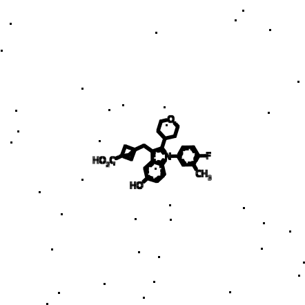 Cc1cc(-n2c(C3CCOCC3)c(CC34CC(C(=O)O)(C3)C4)c3cc(O)ccc32)ccc1F